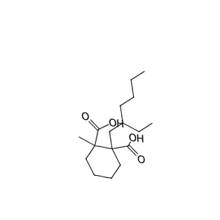 CCCCC(CC)CC1(C(=O)O)CCCCC1(C)C(=O)O